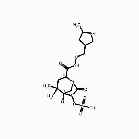 CC1CC(CONC(=O)[C@@H]2CC(C)(C)[C@@H]3CN2C(=O)N3OS(=O)(=O)O)CN1